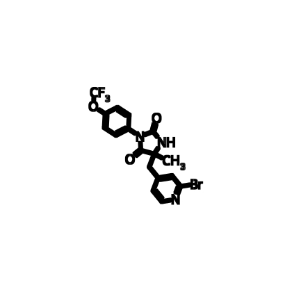 CC1(Cc2ccnc(Br)c2)NC(=O)N(c2ccc(OC(F)(F)F)cc2)C1=O